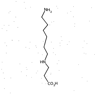 NCCCCCCNCCC(=O)O